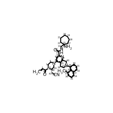 C=CC(=O)N1CCN(c2cc(C(=O)NCC3(N)CCCCCC3)nc3c2CCN(c2cccc4cccc(C)c24)C3)C[C@@H]1CC#N